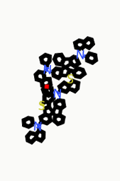 c1ccc(N(c2ccc3c(c2)C2(c4ccccc4-3)c3ccc(N(c4ccccc4)c4cccc5ccccc45)cc3-c3sc4cc(-c5ccc6c(N(c7ccccc7)c7ccc8c(c7)C7(c9ccccc9-c9cc(N(c%10ccccc%10)c%10cccc%11ccccc%10%11)ccc97)c7c-8sc8ccccc78)cccc6c5)ccc4c32)c2ccc3ccccc3c2)cc1